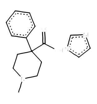 CN1CCC(C(=O)O)(c2ccccc2)CC1.c1c[nH]cn1